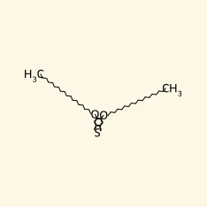 CCCCCCCCCCCCCCCCCCOc1cc2cscc2cc1OCCCCCCCCCCCCCCCCCC